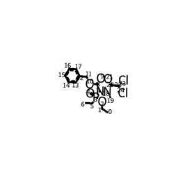 CCOP(=O)(CC)N(C(=O)OCc1ccccc1)N(C)C(=O)C(Cl)Cl